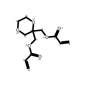 C=CC(=O)OCC1(COC(=O)C=C)COCCO1